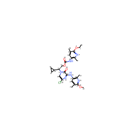 CCOc1nc(C)c(NC(=O)OC[C@H](C2CC2)n2cc(Cl)nc(Nc3cc(C)c(OC)nc3C)c2=O)cc1C